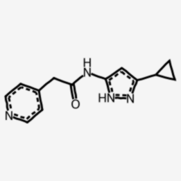 O=C(Cc1ccncc1)Nc1cc(C2CC2)n[nH]1